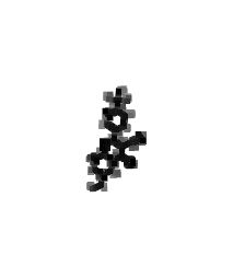 CCN1CSc2nc(-c3ccc(C(C)(C)C)nc3)c(C#N)c(=O)n2C1